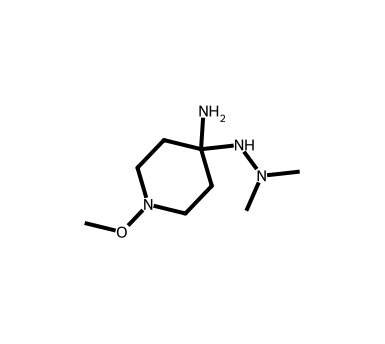 CON1CCC(N)(NN(C)C)CC1